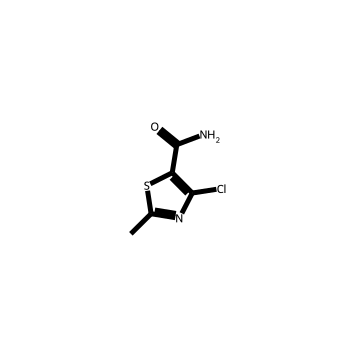 Cc1nc(Cl)c(C(N)=O)s1